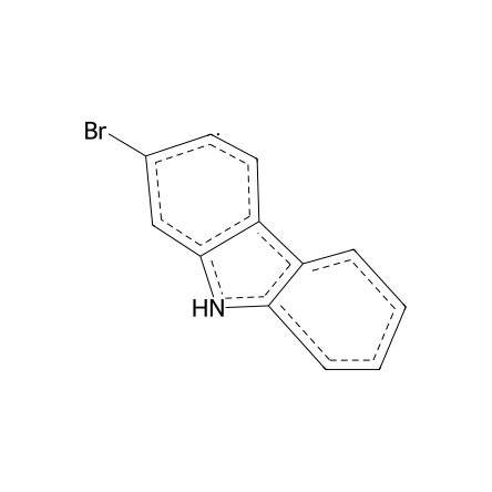 Brc1[c]cc2c(c1)[nH]c1ccccc12